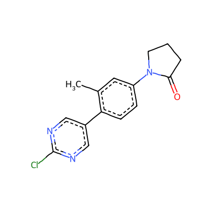 Cc1cc(N2CCCC2=O)ccc1-c1cnc(Cl)nc1